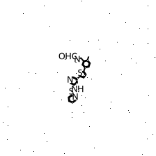 Cc1ccc(-c2ccc(-c3cncc(NSc4ccccn4)c3)s2)cc1CN(C)C=O